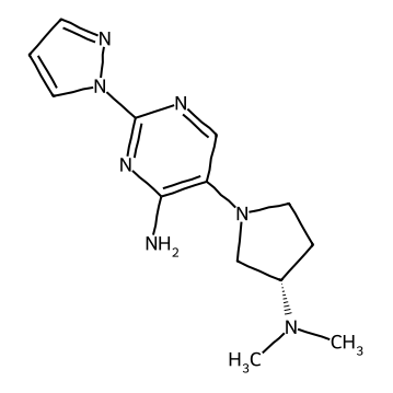 CN(C)[C@H]1CCN(c2cnc(-n3cccn3)nc2N)C1